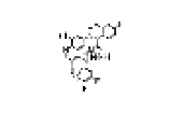 N#Cc1cnc2c(Cl)cc(NC(c3c[nH]nn3)c3ccc(F)cc3F)cc2c1Nc1cnc(F)c(F)c1